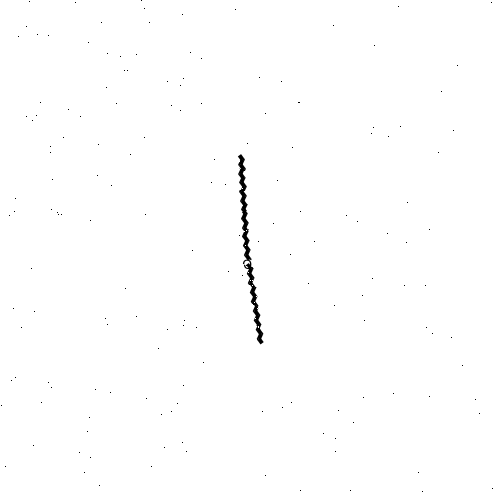 CCCCCCCCCCCCCCCCCCCCCCCCOCCCCCCCCCCCCCCCCC